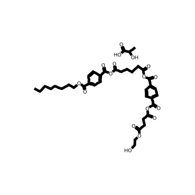 CC(O)C(=O)O.CCCCCCCCOC(=O)c1ccc(C(=O)OC(=O)CCCCC(=O)OC(=O)c2ccc(C(=O)OC(=O)CCC(=O)OCCO)cc2)cc1